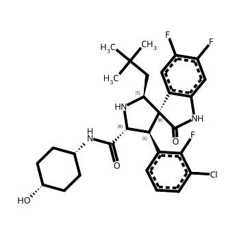 CC(C)(C)C[C@@H]1N[C@@H](C(=O)N[C@H]2CC[C@@H](O)CC2)[C@H](c2cccc(Cl)c2F)[C@]12C(=O)Nc1cc(F)c(F)cc12